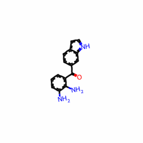 Nc1cccc(C(=O)c2ccc3cc[nH]c3c2)c1N